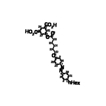 CCCCCCc1ccc(N=Nc2ccc(OCCCCCC(=O)Oc3cc(C(=O)O)cc(C(=O)O)c3)cc2)cc1